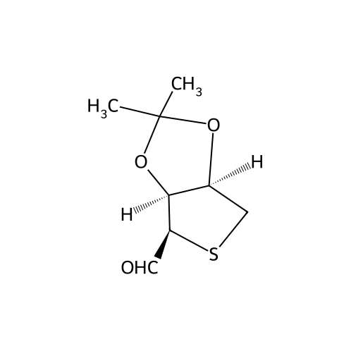 CC1(C)O[C@H]2[C@H](CS[C@H]2C=O)O1